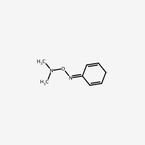 CN(C)ON=C1C=C[CH]C=C1